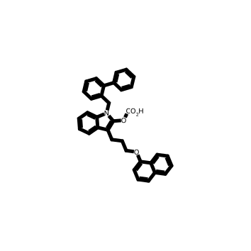 O=C(O)Oc1c(CCCOc2cccc3ccccc23)c2ccccc2n1Cc1ccccc1-c1ccccc1